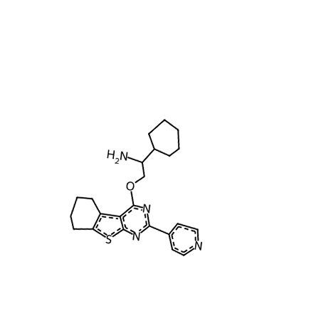 NC(COc1nc(-c2ccncc2)nc2sc3c(c12)CCCC3)C1CCCCC1